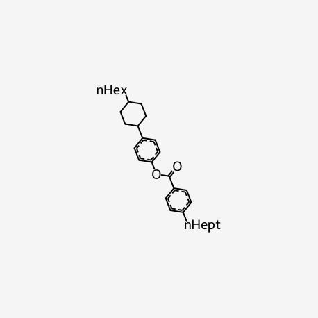 CCCCCCCc1ccc(C(=O)Oc2ccc(C3CCC(CCCCCC)CC3)cc2)cc1